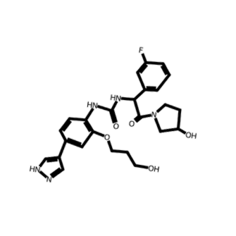 O=C(Nc1ccc(-c2cn[nH]c2)cc1OCCCO)NC(C(=O)N1CCC(O)C1)c1cccc(F)c1